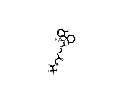 CN(C(=O)OCOC(=O)CNC(=O)C(F)(F)F)[C@]1(c2ccccc2Cl)CCCCC1=O